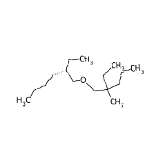 CCCC[C@H](CC)COCC(C)(CC)CCC